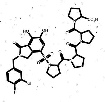 O=C(O)C1CCCN1C(=O)C1CCCN1C(=O)C1CCCN1C(=O)C1CCCN1S(=O)(=O)c1cc(O)c(O)c2c1CN(Cc1ccc(F)c(Cl)c1)C2=O